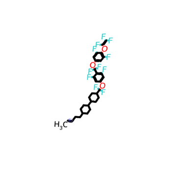 C/C=C/CCC1CCC(C2CCC(C(F)(F)Oc3cc(F)c(C(F)(F)Oc4cc(F)c(OC(F)=C(F)F)c(F)c4)c(F)c3)CC2)CC1